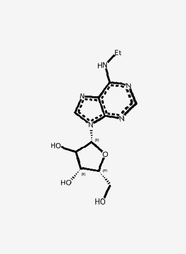 CCNc1ncnc2c1ncn2[C@@H]1O[C@H](CO)[C@H](O)C1O